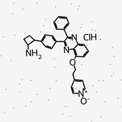 Cl.NC1CCC1c1ccc(-c2nc3c(OCCc4cc[n+]([O-])cc4)cccc3nc2-c2ccccc2)cc1